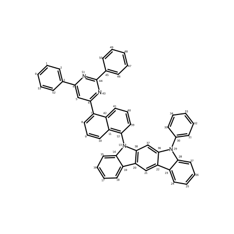 c1ccc(-c2cc(-c3cccc4c(-n5c6ccccc6c6cc7c8ccccc8n(-c8ccccc8)c7cc65)cccc34)nc(-c3ccccc3)n2)cc1